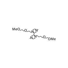 COCCCOCCCN1CCN(C)CC1C1CN(C)CCN1CCCCOCCOC